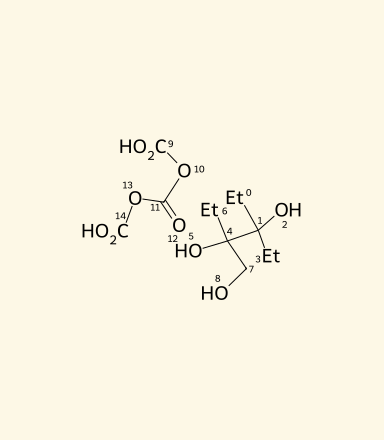 CCC(O)(CC)C(O)(CC)CO.O=C(O)OC(=O)OC(=O)O